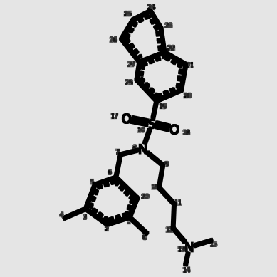 Cc1cc(C)cc(CN(CCCCN(C)C)S(=O)(=O)c2ccc3ccccc3c2)c1